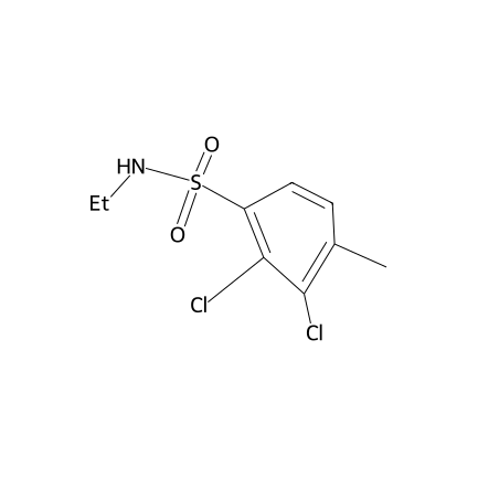 CCNS(=O)(=O)c1ccc(C)c(Cl)c1Cl